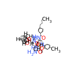 CCCCc1ccc(C(=O)N[C@@H](CN(c2ccc(C)cc2)S(=O)(=O)NC(N)=O)C(=O)N[C@@H](CC(C)C)B2O[C@@H]3C[C@@H]4C[C@@H](C4(C)C)[C@]3(C)O2)cc1